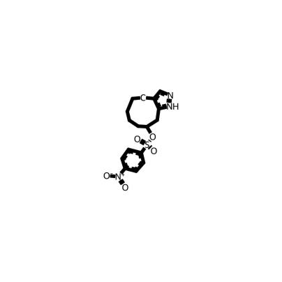 O=[N+]([O-])c1ccc(S(=O)(=O)OC2CCCCCc3cn[nH]c3C2)cc1